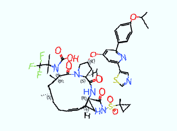 CC(C)Oc1ccc(-c2cc(O[C@@H]3C[C@H]4C(=O)N[C@]5(C(=O)NS(=O)(=O)C6(C)CC6)C[C@H]5C=CCC[C@H](C)C[C@@H](C)[C@H](N(C(=O)O)C(C)(C)C(F)(F)F)C(=O)N4C3)cc(-c3cncs3)n2)cc1